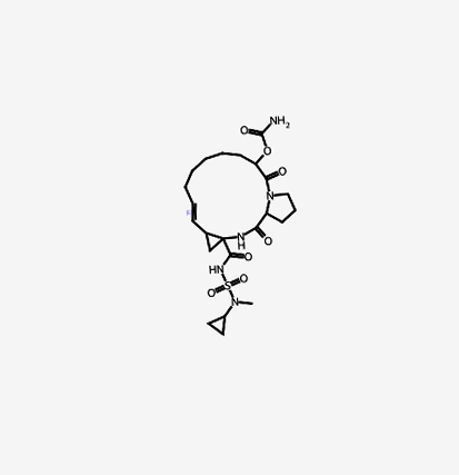 CN(C1CC1)S(=O)(=O)NC(=O)C12CC1/C=C/CCCCCC(OC(N)=O)C(=O)N1CCCC1C(=O)N2